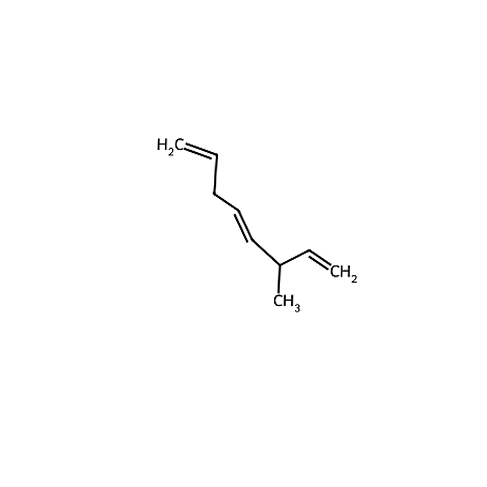 C=CC/C=C/C(C)C=C